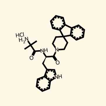 CC(C)(N)C(=O)N[C@H](Cc1c[nH]c2ccccc12)C(=O)N1CCC2(CC1)c1ccccc1-c1ccccc12.Cl